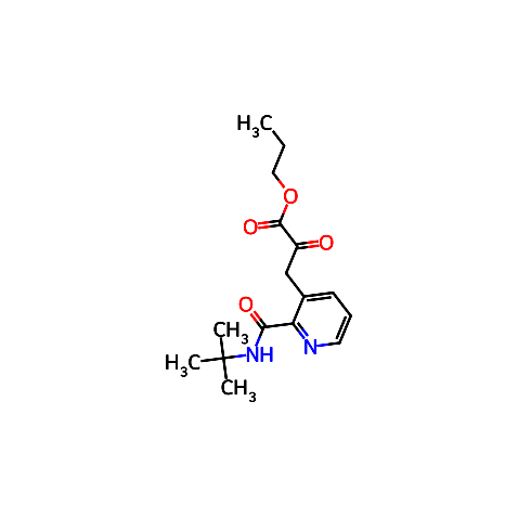 CCCOC(=O)C(=O)Cc1cccnc1C(=O)NC(C)(C)C